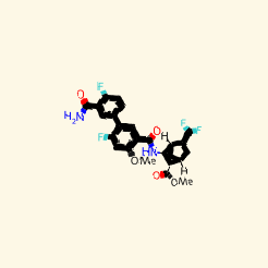 COC(=O)[C@H]1[C@@H]2CC(=C(F)F)[C@@H](C2)[C@H]1NC(=O)c1cc(-c2ccc(F)c(C(N)=O)c2)c(F)cc1OC